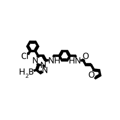 Bc1cnn2c(NCc3ccc(CNC(=O)/C=C/c4ccco4)cc3)cc(-c3ccccc3Cl)nc12